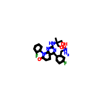 CC(CO)(CO)Nc1nc(-c2ccc(F)cc2CN)c2ccc(=O)n(-c3ccccc3F)c2n1